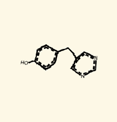 Oc1ccc(Cc2cncnc2)cc1